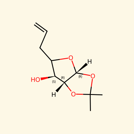 C=CCC1O[C@@H]2OC(C)(C)O[C@@H]2[C@H]1O